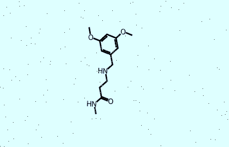 CNC(=O)CCNCc1cc(OC)cc(OC)c1